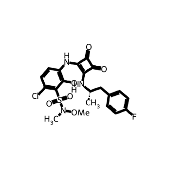 CON(C)S(=O)(=O)c1c(Cl)ccc(Nc2c(N[C@@H](C)Cc3ccc(F)cc3)c(=O)c2=O)c1O